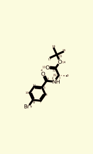 C[C@H](NC(=O)c1ccc(Br)cc1)C(=O)OC(C)(C)C